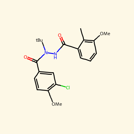 COc1ccc(C(=O)N(NC(=O)c2cccc(OC)c2C)C(C)(C)C)cc1Cl